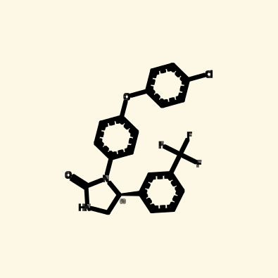 O=C1NC[C@H](c2cccc(C(F)(F)F)c2)N1c1ccc(Oc2ccc(Cl)cc2)cc1